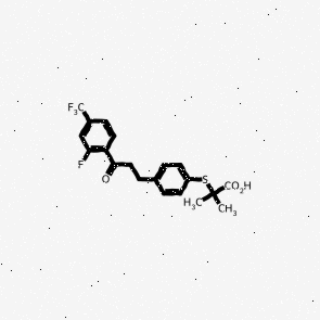 CC(C)(Sc1ccc(CCC(=O)c2ccc(C(F)(F)F)cc2F)cc1)C(=O)O